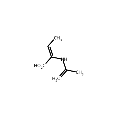 C=C(C)N/C(=C\C)C(=O)O